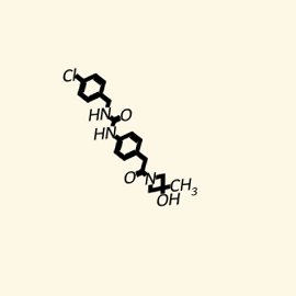 CC1(O)CN(C(=O)Cc2ccc(NC(=O)NCc3ccc(Cl)cc3)cc2)C1